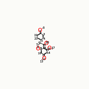 COc1ccc(C2COc3cc(OC)cc(OC)c3C2=O)cc1